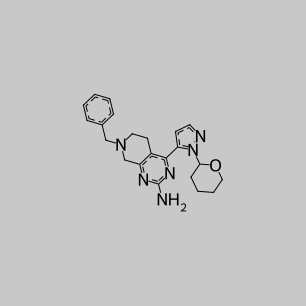 Nc1nc2c(c(-c3ccnn3C3CCCCO3)n1)CCN(Cc1ccccc1)C2